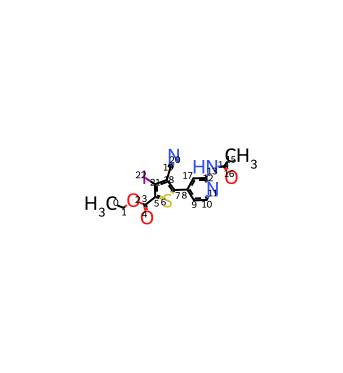 CCOC(=O)c1sc(-c2ccnc(NC(C)=O)c2)c(C#N)c1I